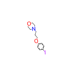 Ic1ccc(OCCCN2CCOCC2)cc1